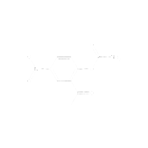 CC(=O)c1cc([N+](=O)[O-])ccc1OC(N)=O